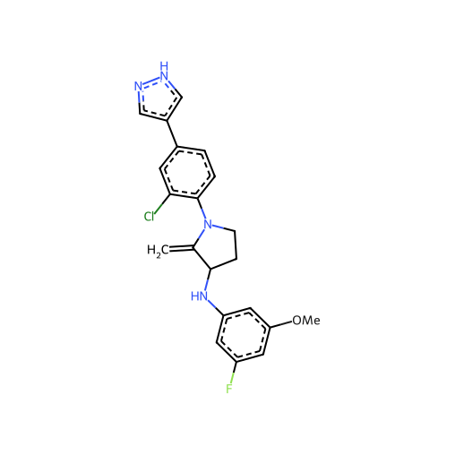 C=C1C(Nc2cc(F)cc(OC)c2)CCN1c1ccc(-c2cn[nH]c2)cc1Cl